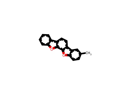 Cc1ccc2oc3c(ccc4c5ccccc5oc43)c2c1